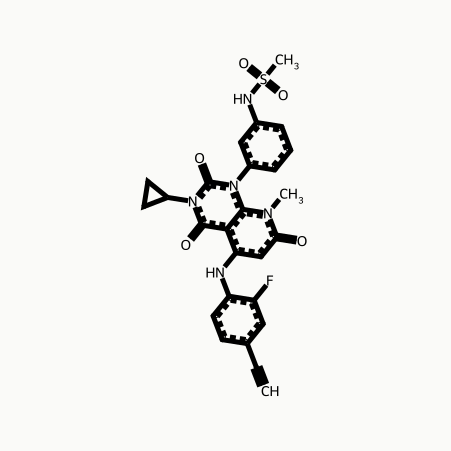 C#Cc1ccc(Nc2cc(=O)n(C)c3c2c(=O)n(C2CC2)c(=O)n3-c2cccc(NS(C)(=O)=O)c2)c(F)c1